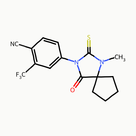 CN1C(=S)N(c2ccc(C#N)c(C(F)(F)F)c2)C(=O)C12CCCC2